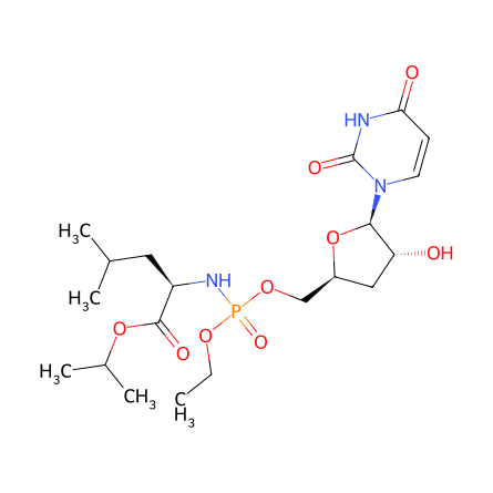 CCOP(=O)(N[C@H](CC(C)C)C(=O)OC(C)C)OC[C@@H]1C[C@@H](O)[C@H](n2ccc(=O)[nH]c2=O)O1